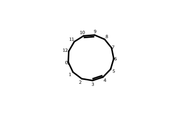 [CH]1CCC=CCCCCC=CCC1